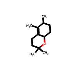 CC1=C2CCC(C)(C)OC2CCC1C